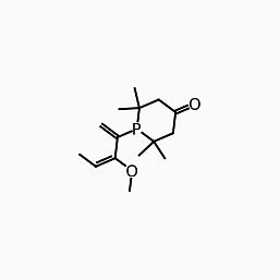 C=C(/C(=C\C)OC)P1C(C)(C)CC(=O)CC1(C)C